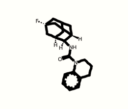 O=C(N[C@H]1[C@@H]2CC3C[C@H]1C[C@](F)(C3)C2)N1CCCc2ccccc21